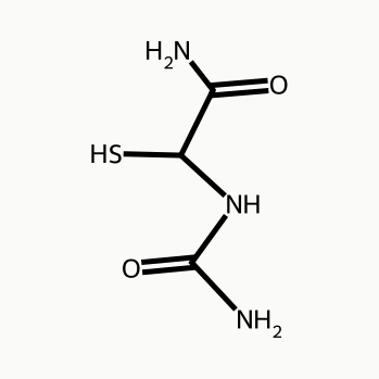 NC(=O)NC(S)C(N)=O